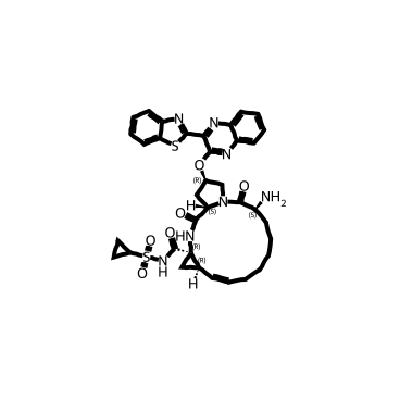 N[C@H]1CCCCCC=C[C@H]2C[C@@]2(C(=O)NS(=O)(=O)C2CC2)NC(=O)[C@@H]2C[C@@H](Oc3nc4ccccc4nc3-c3nc4ccccc4s3)CN2C1=O